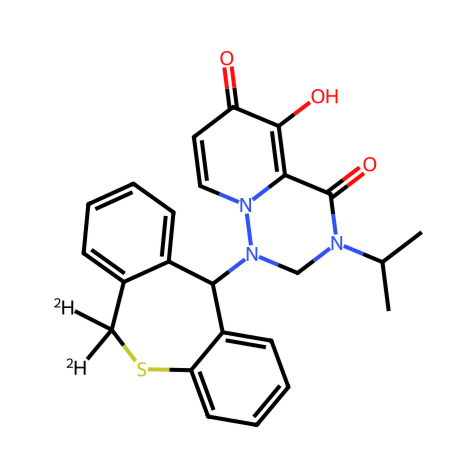 [2H]C1([2H])Sc2ccccc2C(N2CN(C(C)C)C(=O)c3c(O)c(=O)ccn32)c2ccccc21